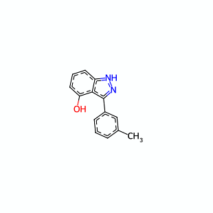 Cc1cccc(-c2n[nH]c3cccc(O)c23)c1